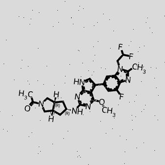 COc1nc(N[C@@H]2C[C@@H]3CN(C(C)=O)C[C@@H]3C2)nc2[nH]cc(-c3cc(F)c4nc(C)n(CC(F)F)c4c3)c12